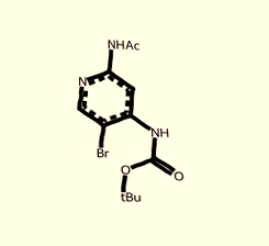 CC(=O)Nc1cc(NC(=O)OC(C)(C)C)c(Br)cn1